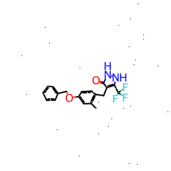 Cc1cc(OCc2ccccc2)ccc1Cc1c(C(F)(F)F)[nH][nH]c1=O